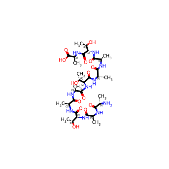 C[C@H](N)C(=O)N[C@@H](C)C(=O)N[C@H](C(=O)N[C@@H](C)C(=O)N[C@@H](C)C(=O)N[C@H](C(=O)N[C@@H](C)C(=O)N[C@@H](C)C(=O)N[C@H](C(=O)N[C@@H](C)C(=O)O)[C@@H](C)O)[C@@H](C)O)[C@@H](C)O